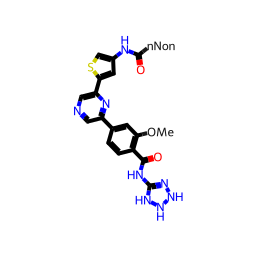 CCCCCCCCCC(=O)Nc1csc(-c2cncc(-c3ccc(C(=O)NC4=NNNN4)c(OC)c3)n2)c1